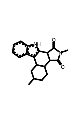 CC1CCC2C(C1)c1c([nH]c3ccccc13)C1C(=O)N(C)C(=O)C12